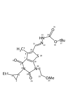 CCC1CC1n1c(=O)c2c(C)c(C=NNC(=O)OC(C)(C)C)sc2n(CCOC)c1=O